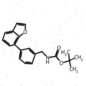 CC(C)(C)OC(=O)NCc1cccc(-c2cccc3ccoc23)c1